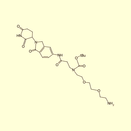 CC(C)(C)OC(=O)N(CCOCCOCCN)CCC(=O)Nc1ccc2c(c1)CN(C1CCC(=O)NC1=O)C2=O